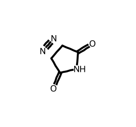 N#N.O=C1CCC(=O)N1